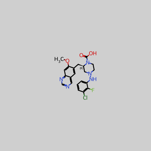 COc1cc2ncncc2cc1C[C@@H]1CN(Nc2cccc(Cl)c2F)CCN1C(=O)O